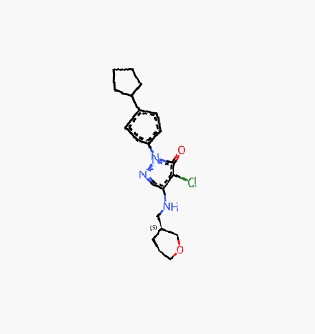 O=c1c(Cl)c(NC[C@@H]2CCCOC2)cnn1-c1ccc(C2CCCC2)cc1